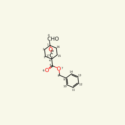 O=CC12CCC(C(=O)OCc3ccccc3)(CC1)CO2